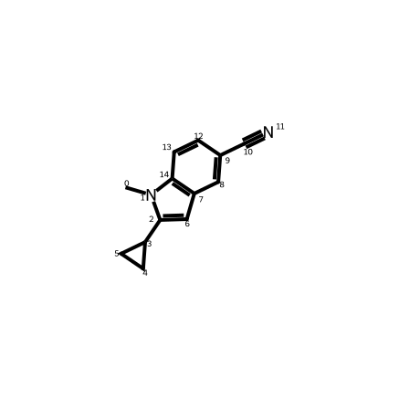 Cn1c(C2CC2)cc2cc(C#N)ccc21